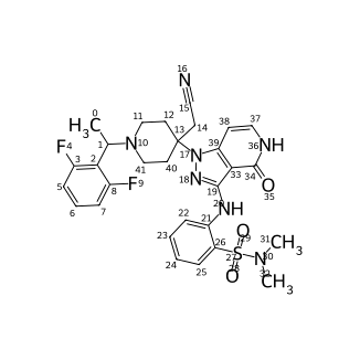 CC(c1c(F)cccc1F)N1CCC(CC#N)(n2nc(Nc3ccccc3S(=O)(=O)N(C)C)c3c(=O)[nH]ccc32)CC1